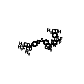 Cc1cc(SC2CC3(CCN(C(=O)OC(C)(C)C)CC3)C2)ccc1Nc1ncc(C(F)(F)F)c([C@H]2CC[C@](C)(O)CC2)n1